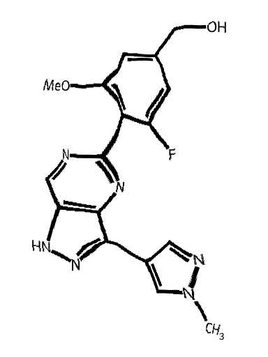 COc1cc(CO)cc(F)c1-c1ncc2[nH]nc(-c3cnn(C)c3)c2n1